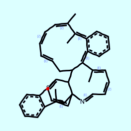 CC1=C/C=C\C=C\CC2C(=c3/cccc/c3=C\1C)/C(C)=C/C=C\C=N\C13C=CC=C(Sc4ccccc4/C(C)=C/1)C23